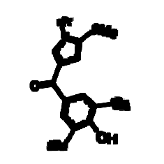 CCCn1cc(C(=O)c2cc(C(C)(C)C)c(O)c(C(C)(C)C)c2)cc1SC